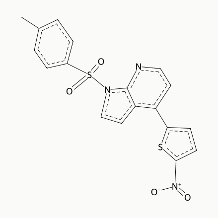 Cc1ccc(S(=O)(=O)n2ccc3c(-c4ccc([N+](=O)[O-])s4)ccnc32)cc1